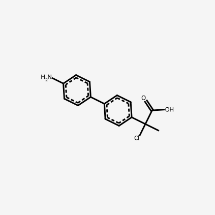 CC(Cl)(C(=O)O)c1ccc(-c2ccc(N)cc2)cc1